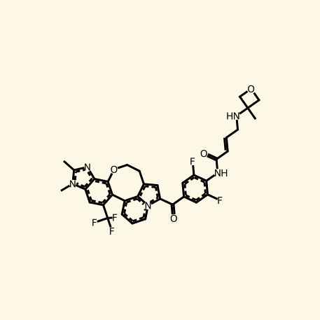 Cc1nc2c3c(c(C(F)(F)F)cc2n1C)-c1cccn2c(C(=O)c4cc(F)c(NC(=O)/C=C/CNC5(C)COC5)c(F)c4)cc(c12)CCO3